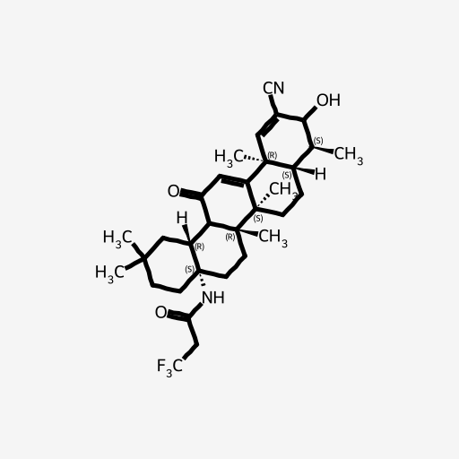 C[C@@H]1C(O)C(C#N)=C[C@]2(C)C3=CC(=O)C4[C@H]5CC(C)(C)CC[C@]5(NC(=O)CC(F)(F)F)CC[C@@]4(C)[C@]3(C)CC[C@@H]12